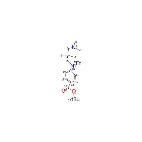 CCN(CC(C)(C)CN(C)C)c1ccc(C(=O)OC(C)(C)C)cc1